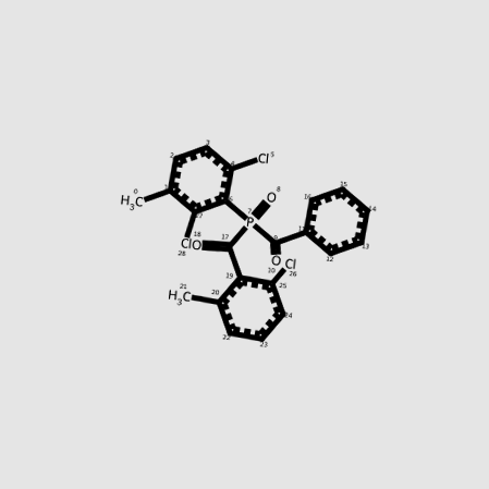 Cc1ccc(Cl)c(P(=O)(C(=O)c2ccccc2)C(=O)c2c(C)cccc2Cl)c1Cl